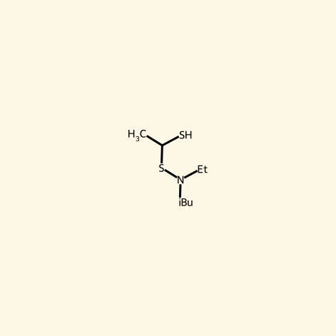 CCC(C)N(CC)SC(C)S